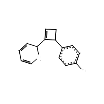 CCc1ccc(C2CC=C2C2C=CC=CO2)cc1